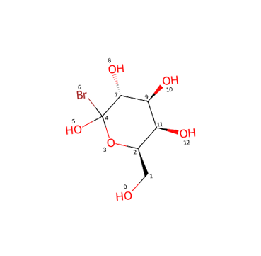 OC[C@H]1OC(O)(Br)[C@H](O)[C@@H](O)[C@H]1O